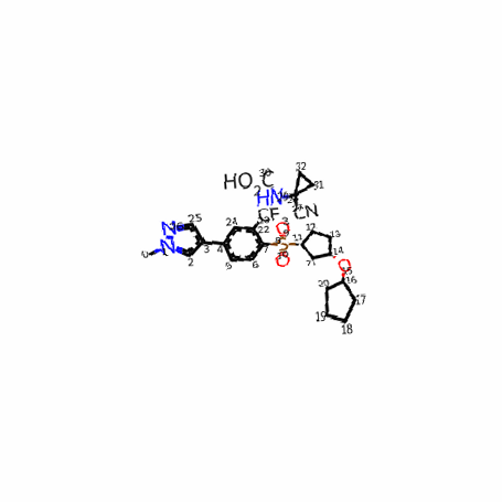 Cn1cc(-c2ccc(S(=O)(=O)[C@H]3CC[C@H](OC4CCCC4)C3)c(C(F)(F)F)c2)cn1.N#CC1(NC(=O)O)CC1